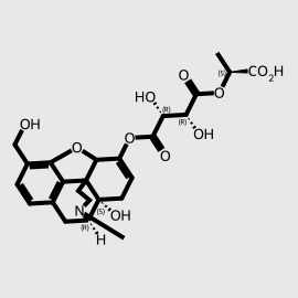 C[C@H](OC(=O)[C@H](O)[C@@H](O)C(=O)OC1=CC[C@@]2(O)[C@H]3Cc4ccc(CO)c5c4C2(CCN3C)C1O5)C(=O)O